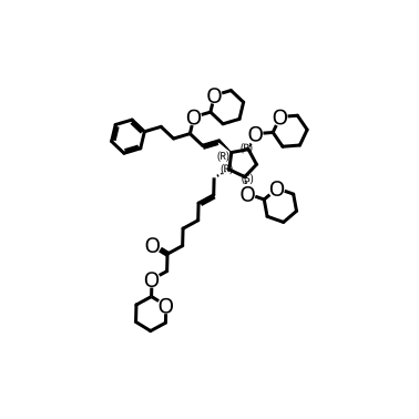 O=C(CCCC=CC[C@@H]1[C@@H](C=CC(CCc2ccccc2)OC2CCCCO2)[C@H](OC2CCCCO2)C[C@@H]1OC1CCCCO1)COC1CCCCO1